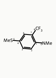 CNc1ccc(SC)cc1C(F)(F)F